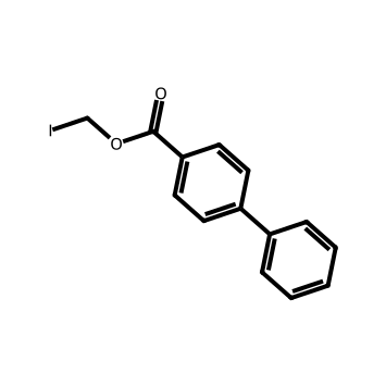 O=C(OCI)c1ccc(-c2ccccc2)cc1